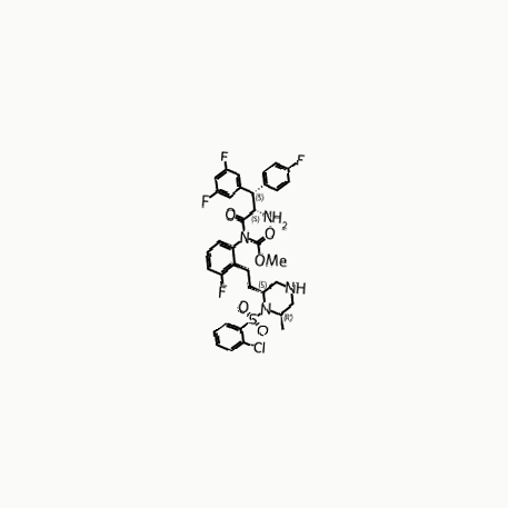 COC(=O)N(C(=O)[C@@H](N)[C@@H](c1ccc(F)cc1)c1cc(F)cc(F)c1)c1cccc(F)c1CC[C@H]1CNC[C@@H](C)N1S(=O)(=O)c1ccccc1Cl